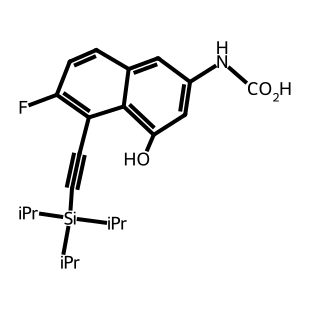 CC(C)[Si](C#Cc1c(F)ccc2cc(NC(=O)O)cc(O)c12)(C(C)C)C(C)C